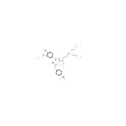 CC1(C)OB(O)c2cc(NC(=O)C(Cc3ccc(C(F)(F)F)cc3)NC(=O)C(N)CCC(=O)N(CCN)CCN)ccc21